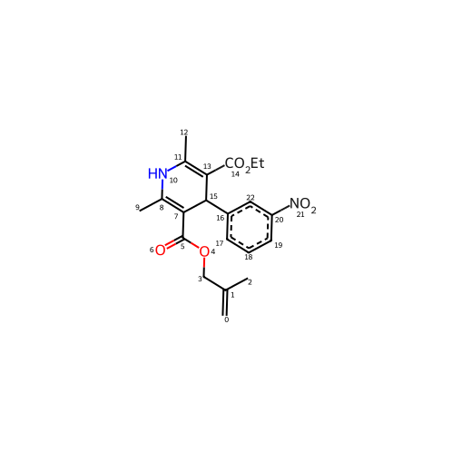 C=C(C)COC(=O)C1=C(C)NC(C)=C(C(=O)OCC)C1c1cccc([N+](=O)[O-])c1